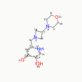 O=c1cc(CN2CC(N3CCOCC3)C2)[nH]cc1O